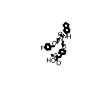 CCOC(Cc1ccc(OCCN(CCOCc2ccc(F)cc2)C(=O)Nc2ccc3c(c2)CCC3)cc1)C(=O)O